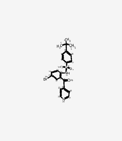 CC(C)(C)c1ccc(S(=O)(=O)Nc2ccc(Br)cc2C(=O)c2ccncc2)cc1